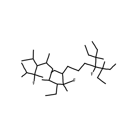 CCC(CCCC(F)(C(C)(CC)CC)C(C)(CC)CC)C(C)(F)C(CC)C(C)CC(C)C(C(C)C)C(C)(F)C(C)C